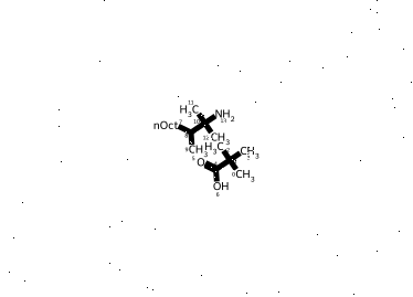 CC(C)(C)C(=O)O.CCCCCCCCC(C)C(C)(C)N